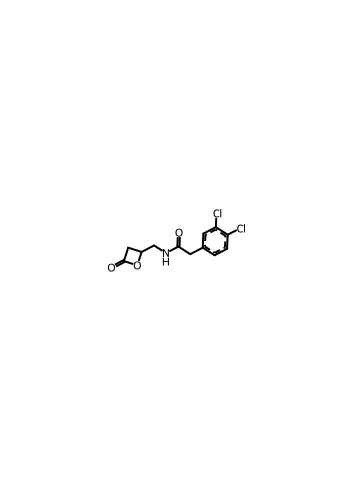 O=C(Cc1ccc(Cl)c(Cl)c1)NCC1CC(=O)O1